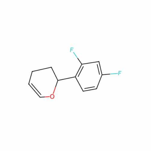 Fc1ccc(C2CCC=CO2)c(F)c1